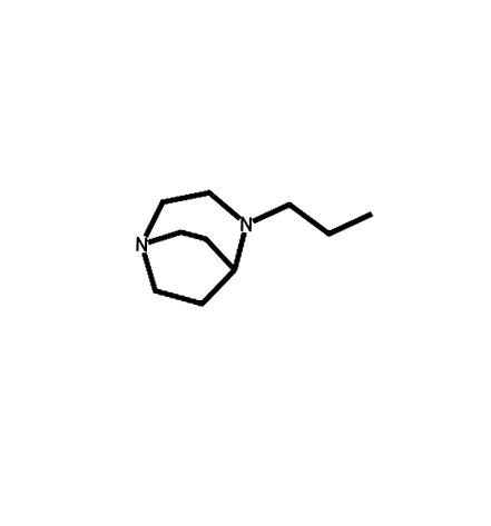 CCCN1CCN2CCC1CC2